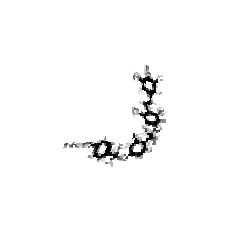 CCCCCc1ccc(C(F)(F)Oc2ccc(C(F)(F)Oc3cc(F)c(/C=C/c4cc(F)c(F)c(F)c4)c(F)c3)c(F)c2)cc1